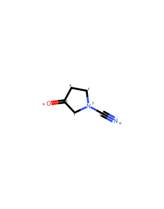 N#CN1CCC(=O)C1